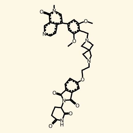 COc1cc(-c2cn(C)c(=O)c3cnccc23)cc(OC)c1CN1CC2(CN(CCOc3ccc4c(c3)C(=O)N(C3CCC(=O)NC3=O)C4=O)C2)C1